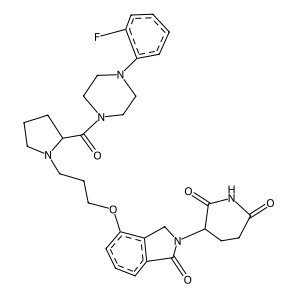 O=C1CCC(N2Cc3c(OCCCN4CCCC4C(=O)N4CCN(c5ccccc5F)CC4)cccc3C2=O)C(=O)N1